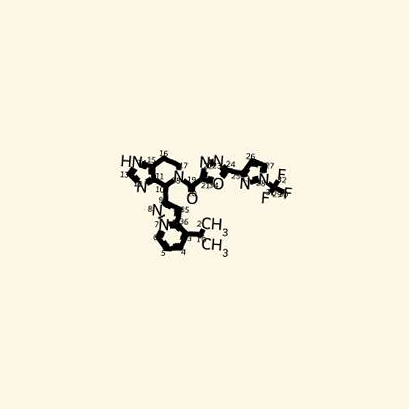 CC(C)c1cccn2nc(C3c4nc[nH]c4CCN3C(=O)c3nnc(-c4ccn(C(F)(F)F)n4)o3)cc12